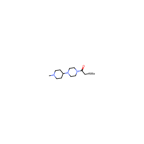 CNCC(=O)N1CCN(C2CCN(C)CC2)CC1